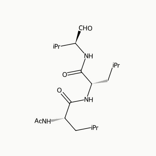 CC(=O)N[C@@H](CC(C)C)C(=O)N[C@@H](CC(C)C)C(=O)N[C@H](C=O)C(C)C